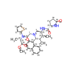 CC[C@H](C)[C@@H](CN(CC(=O)N(c1cccs1)[C@@H](C)C(=O)OC)Cc1cccc2ccccc12)NC(=O)[C@@H]1CCC(=O)N1